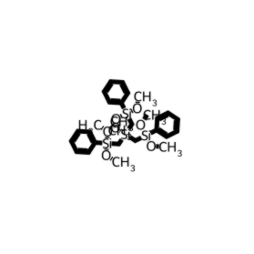 CO[Si](C[Si](OC)(OC)c1ccccc1)(C[Si](OC)(OC)c1ccccc1)C[Si](OC)(OC)c1ccccc1